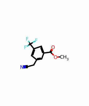 COC(=O)c1cc(CC#N)cc(C(F)(F)F)c1